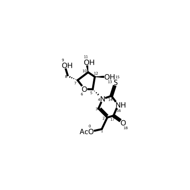 CC(=O)OCc1cn([C@@H]2O[C@H](CO)[C@@H](O)[C@H]2O)c(=S)[nH]c1=O